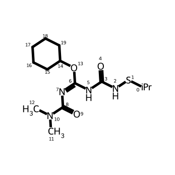 CC(C)SNC(=O)NC(=NC(=O)N(C)C)OC1CCCCC1